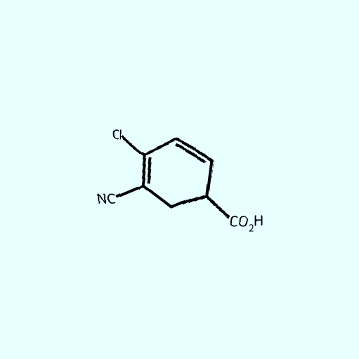 N#CC1=C(Cl)C=CC(C(=O)O)C1